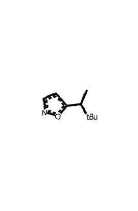 CC(c1ccno1)C(C)(C)C